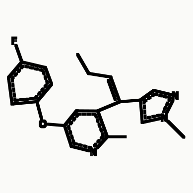 CC/C=C(/c1cnn(C)c1)c1cc(Oc2ccc(F)cc2)cnc1C